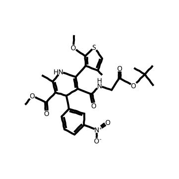 COC(=O)C1=C(C)NC(c2c(C)csc2OC)=C(C(=O)NCC(=O)OC(C)(C)C)C1c1cccc([N+](=O)[O-])c1